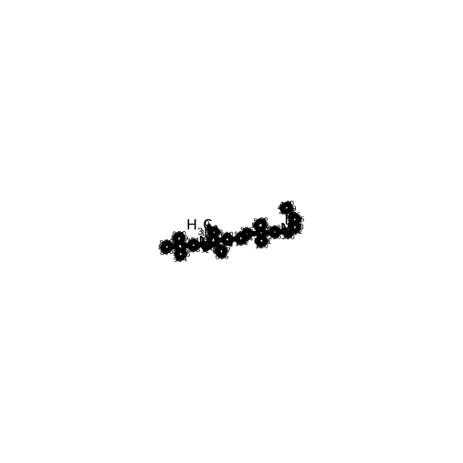 Cc1ccc2c(-c3ccc(-c4ccc5cc(-c6c7ccccc7c(-c7ccc(-c8ccc9ccc%10ccc(-c%11ccccc%11)nc%10c9n8)cc7)c7ccccc67)ccc5c4)cc3)c(-c3ccccc3)c3ccc(-c4ccc(-c5c6ccccc6c(-c6ccccc6)c6ccccc56)cc4)nc3c2n1